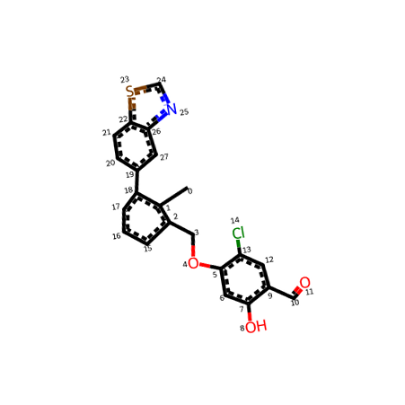 Cc1c(COc2cc(O)c(C=O)cc2Cl)cccc1-c1ccc2scnc2c1